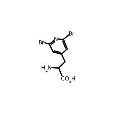 NC(Cc1cc(Br)nc(Br)c1)C(=O)O